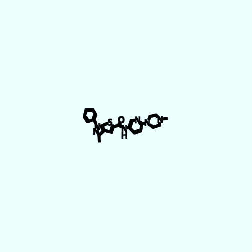 Cc1nn(-c2ccccc2)c2sc(C(=O)Nc3ccc(N4CCN(C)CC4)nc3)cc12